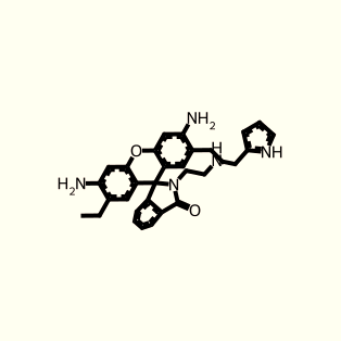 CCc1cc2c(cc1N)Oc1cc(N)c(CC)cc1C21c2ccccc2C(=O)N1CCNCc1ccc[nH]1